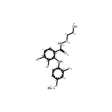 CC[C@@H](C)Cc1ccc(Nc2c(C(=O)NOCCO)ccc(F)c2F)c(F)c1